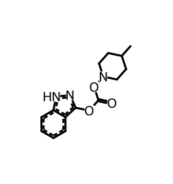 CC1CCN(OC(=O)Oc2n[nH]c3ccccc23)CC1